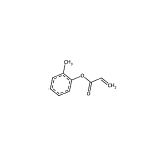 C=CC(=O)Oc1cc[c]cc1C